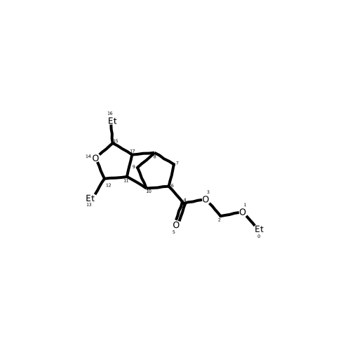 CCOCOC(=O)C1CC2CC1C1C(CC)OC(CC)C21